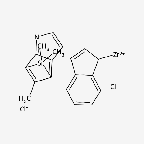 CC1=C2C3=NC=CC3=C1[Si]2(C)C.[Cl-].[Cl-].[Zr+2][CH]1C=Cc2ccccc21